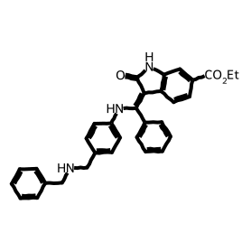 CCOC(=O)c1ccc2c(c1)NC(=O)/C2=C(\Nc1ccc(CNCc2ccccc2)cc1)c1ccccc1